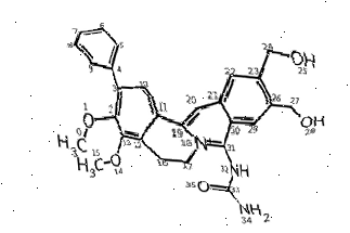 COc1c(-c2ccccc2)cc2c(c1OC)CC[n+]1c-2cc2cc(CO)c(CO)cc2c1NC(N)=O